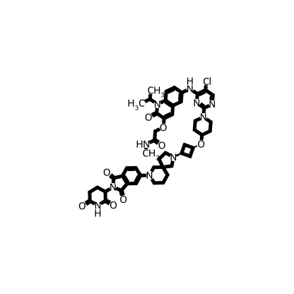 CNC(=O)COc1cc2cc(Nc3nc(N4CCC(O[C@H]5C[C@H](N6CCC7(CCCN(c8ccc9c(c8)C(=O)N(C8CCC(=O)NC8=O)C9=O)C7)C6)C5)CC4)ncc3Cl)ccc2n(C(C)C)c1=O